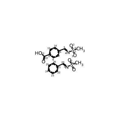 CS(=O)(=O)/N=C/c1ccc(C(=O)O)cc1.CS(=O)(=O)/N=C/c1ccccc1